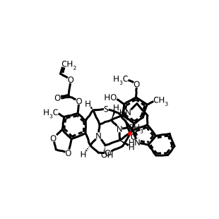 C=COC(=O)Oc1c(C)c2c(c3c1[C@H]1SC[C@]4(NCCc5c4[nH]c4ccccc54)C(=O)COC[C@@H]3N3C1[C@@H]1c4c(cc(C)c(OC)c4O)C[C@H]([C@@H]3O)N1C)OCO2